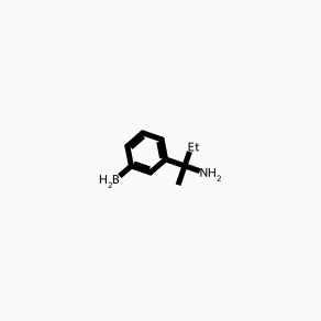 Bc1cccc(C(C)(N)CC)c1